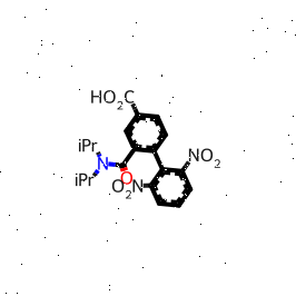 CC(C)N(C(=O)c1cc(C(=O)O)ccc1-c1c([N+](=O)[O-])cccc1[N+](=O)[O-])C(C)C